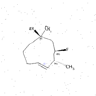 CC[C@]1(C)CCC/C=C/[C@@H](C)[C@H](F)C1